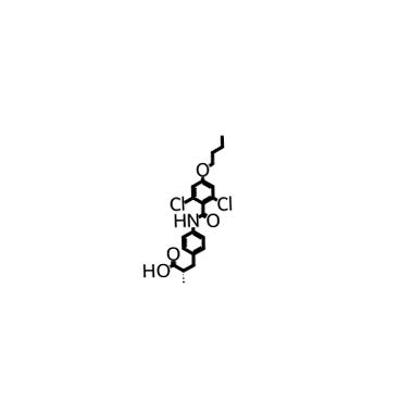 CCCCOc1cc(Cl)c(C(=O)Nc2ccc(C[C@H](C)C(=O)O)cc2)c(Cl)c1